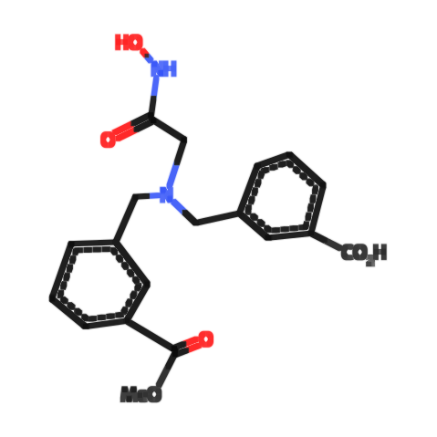 COC(=O)c1cccc(CN(CC(=O)NO)Cc2cccc(C(=O)O)c2)c1